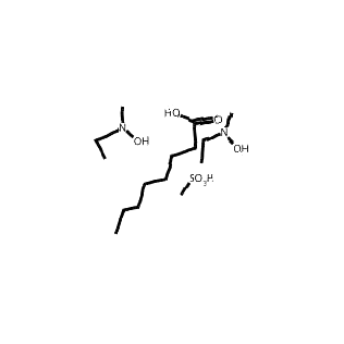 CCCCCCCC(=O)O.CCN(C)O.CCN(C)O.CS(=O)(=O)O